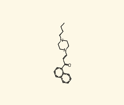 CCCCN1CCN(C=CC(=O)c2cccc3ccccc23)CC1